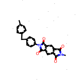 Cc1ccc(Cc2ccc(-n3c(=O)c4cc5c(=O)n(C)c(=O)c5cc4c3=O)cc2)cc1